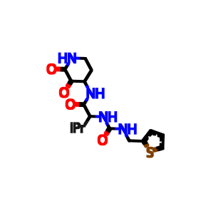 CC(C)C(NC(=O)NCc1cccs1)C(=O)NC1CCNC(=O)C1=O